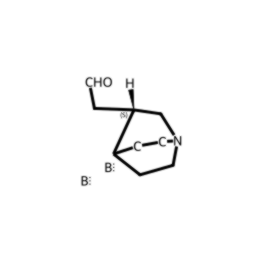 O=CC[C@@H]1CN2CCC1CC2.[B].[B]